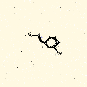 N#C/C=[C]/c1cccc(C#N)c1